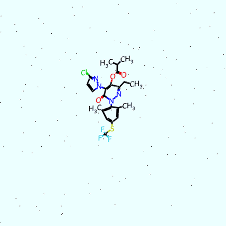 CCc1nn(-c2c(C)cc(SC(F)(F)F)cc2C)c(=O)c(-n2ccc(Cl)n2)c1OC(=O)C(C)C